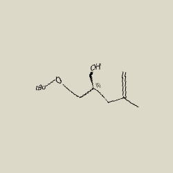 C=C(C)C[C@H](O)COC(C)(C)C